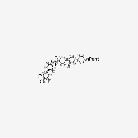 CCCCCC1CCC(c2ccc(C3CCC(C(F)(F)Oc4ccc(-c5cc(F)c(Cl)c(F)c5)c(F)c4)CC3)c(F)c2)CC1